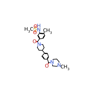 Cc1ccc(C(=O)N2CCC(c3ccc(C(=O)N4CCCN(C)CC4)cc3)CC2)cc1NS(C)(=O)=O